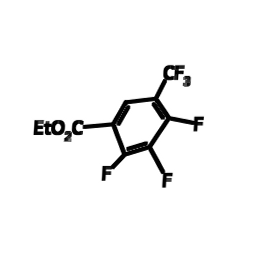 CCOC(=O)c1cc(C(F)(F)F)c(F)c(F)c1F